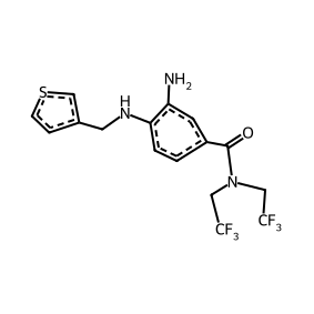 Nc1cc(C(=O)N(CC(F)(F)F)CC(F)(F)F)ccc1NCc1ccsc1